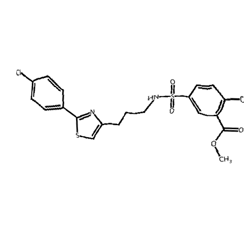 COC(=O)c1cc(S(=O)(=O)NCCCc2csc(-c3ccc(Cl)cc3)n2)ccc1C